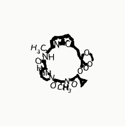 C[C@@H]1NC(=O)C(C2CC2)OC(=O)C2(/C=C/c3ccc4ccc(nc4c3)[C@@H](C)NC(=O)[C@@H]3CCCN(N3)C1=O)COCCOC2